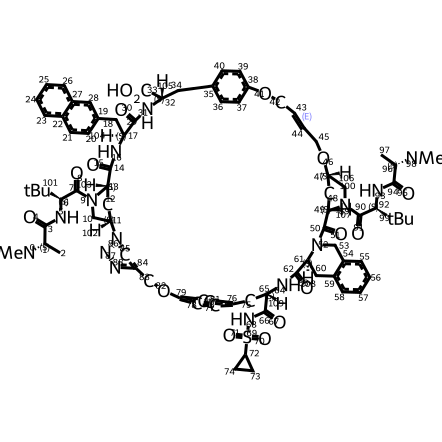 CN[C@@H](C)C(=O)N[C@H](C(=O)N1C[C@@H]2C[C@H]1C(=O)N[C@@H](Cc1ccc3ccccc3c1)C(=O)N[C@H](C(=O)O)Cc1ccc(cc1)OC/C=C/CO[C@H]1C[C@@H](C(=O)N3Cc4ccccc4C[C@H]3C(=O)N[C@H](C(=O)NS(=O)(=O)C3CC3)Cc3ccc(cc3)OCc3cn2nn3)N(C(=O)[C@@H](NC(=O)[C@H](C)NC)C(C)(C)C)C1)C(C)(C)C